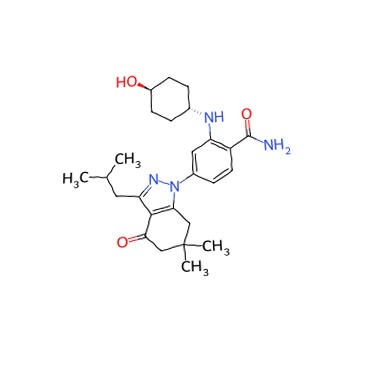 CC(C)Cc1nn(-c2ccc(C(N)=O)c(N[C@H]3CC[C@H](O)CC3)c2)c2c1C(=O)CC(C)(C)C2